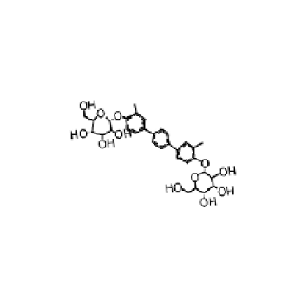 Cc1cc(-c2ccc(-c3ccc(O[C@H]4OC(CO)[C@@H](O)C(O)C4O)c(C)c3)cc2)ccc1O[C@H]1OC(CO)[C@@H](O)C(O)C1O